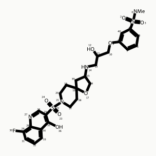 CNS(=O)(=O)c1cccc(OCC(O)CNC2COC3(CCN(S(=O)(=O)c4cnc5c(F)cccc5c4O)CC3)C2)c1